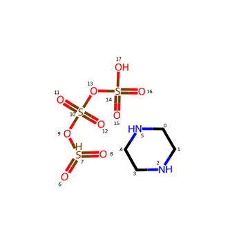 C1CNCCN1.O=[SH](=O)OS(=O)(=O)OS(=O)(=O)O